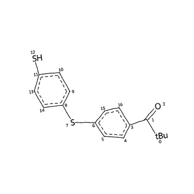 CC(C)(C)C(=O)c1ccc(Sc2ccc(S)cc2)cc1